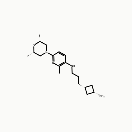 Cc1nc(N2C[C@@H](C)O[C@@H](C)C2)ccc1NCCC[C@H]1C[C@@H](N)C1